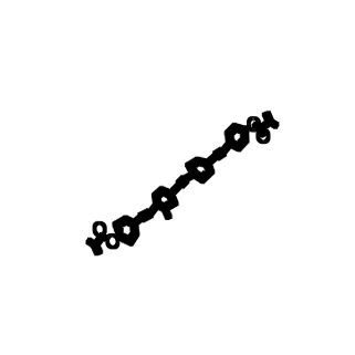 C=C(C)C(=O)Oc1ccc(C#Cc2ccc(C#Cc3ccc(C#Cc4ccc(OC(=O)C(=C)C)cc4)c(C)c3)cc2)cc1